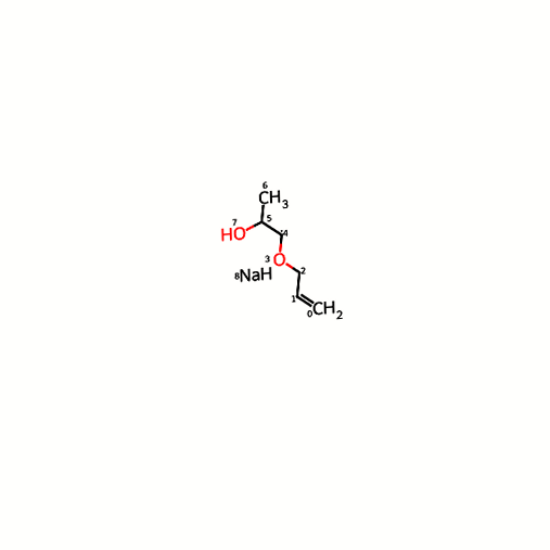 C=CCO[CH]C(C)O.[NaH]